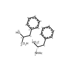 CC(=O)N[C@@H](Cc1ccccc1)C(=O)O.O=C(O)C(O)Cc1ccccc1